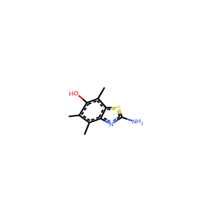 Cc1c(O)c(C)c2sc(N)nc2c1C